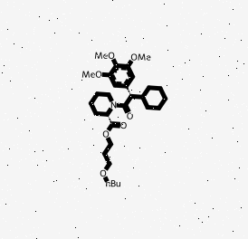 CCCCOCCCOC(=O)[C@@H]1CCCCN1C(=O)[C@H](c1cc(OC)c(OC)c(OC)c1)C1CCCCC1